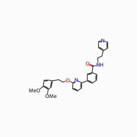 COc1ccc(CCOc2cccc(-c3cccc(C(=O)NCCc4ccncc4)c3)n2)cc1OC